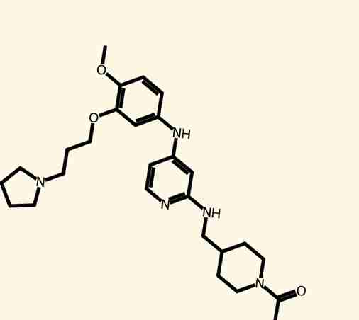 COc1ccc(Nc2ccnc(NCC3CCN(C(C)=O)CC3)c2)cc1OCCCN1CCCC1